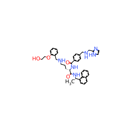 C[C@H](NC(=O)[C@H](CCCNCc1ccccc1OCCO)NC(=O)c1ccc(CNCc2ncc[nH]2)cc1)c1cccc2ccccc12